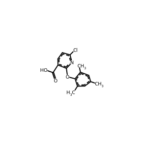 Cc1cc(C)c(Oc2nc(Cl)ccc2C(=O)O)c(C)c1